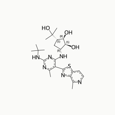 Cc1nc(NC(C)(C)C)nc(N[C@@H]2C[C@H](C(C)(C)O)[C@@H](O)[C@H]2O)c1-c1nc2c(C)nccc2s1